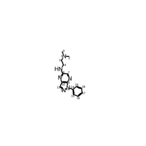 CN(C)CCNc1cnc2c(cnn2-c2ccccc2)n1